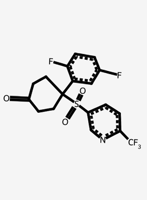 O=C1CCC(c2cc(F)ccc2F)(S(=O)(=O)c2ccc(C(F)(F)F)nc2)CC1